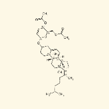 CC(=O)OC[C@H]1O[C@H](OC2CC[C@@]3(C)C(=CC[C@H]4[C@@H]5CC[C@H]([C@H](C)CCCC(C)C)[C@@]5(C)CC[C@@H]43)C2)C=C[C@@H]1OC(C)=O